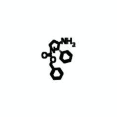 N[C@@H]1CCN(C(=O)OCc2ccccc2)[C@H]1c1ccccc1